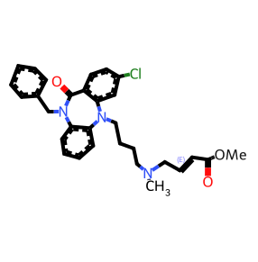 COC(=O)/C=C/CN(C)CCCCN1c2cc(Cl)ccc2C(=O)N(Cc2ccccc2)c2ccccc21